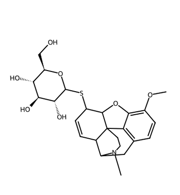 COc1ccc2c3c1OC1C(SC4O[C@H](CO)[C@@H](O)[C@H](O)[C@H]4O)C=CC4C(C2)N(C)CCC341